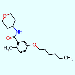 CCCCCCOc1ccc(C)c(C(=O)NC2CCOCC2)c1